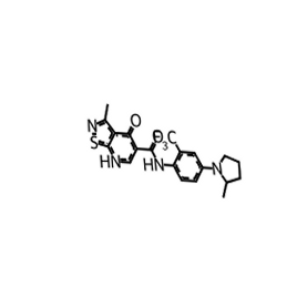 Cc1nsc2[nH]cc(C(=O)Nc3ccc(N4CCCC4C)cc3C(F)(F)F)c(=O)c12